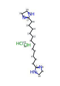 C(CCCCCCC1=NCCN1)CCCCCC1=NCCN1.Cl.Cl